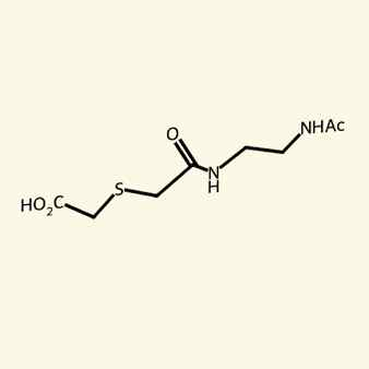 CC(=O)NCCNC(=O)CSCC(=O)O